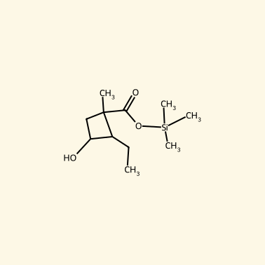 CCC1C(O)CC1(C)C(=O)O[Si](C)(C)C